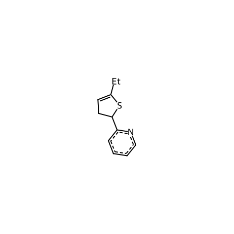 CCC1=CCC(c2ccccn2)S1